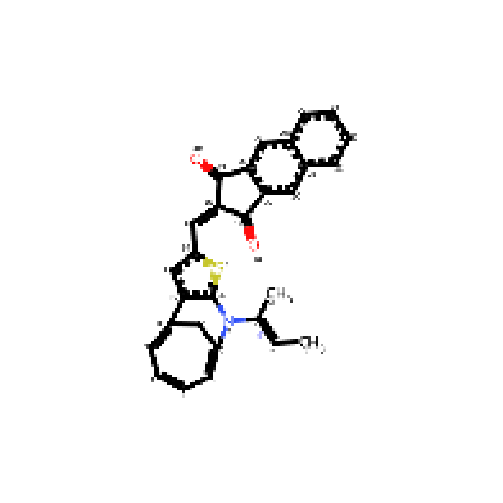 C/C=C(\C)N1C2=CC=CC=C(C2)c2cc(C=C3C(=O)c4cc5ccccc5cc4C3=O)sc21